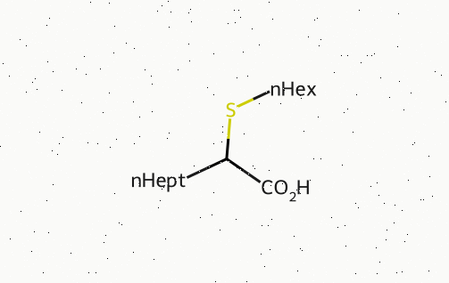 CCCCCCCC(SCCCCCC)C(=O)O